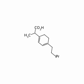 CC(C)CCC1=CC=C(C(C)C(=O)O)CC1